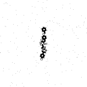 O=C(NC(Cc1ccc(OCc2ccccc2)cc1)C(=O)O)c1cn2cc(-c3ccc(Cl)cc3)cnc2n1